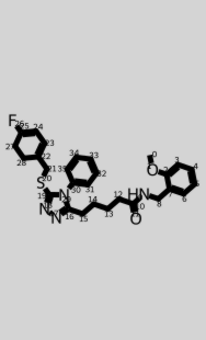 COc1ccccc1CNC(=O)CCCCc1nnc(SCC2=CC=C(F)CC2)n1-c1ccccc1